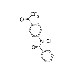 O=C(c1ccccc1)N(Cl)c1ccc(C(=O)C(F)(F)F)cc1